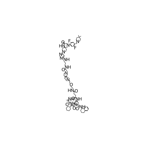 CN[C@@H](C)C(=O)N[C@H](C(=O)N1C[C@@H](NC(=O)CCC(=O)NCCOCCN2CC[C@]3(CCN(CC(=O)NCCCNc4cc(N5CCC6(CC5)CN(c5cc(F)c(CN7CCC(C)(C)CC7)cc5F)CC(=O)N6)ncn4)C3)C2)C[C@H]1C(=O)NC1CCCc2ccccc21)C1CCCCC1